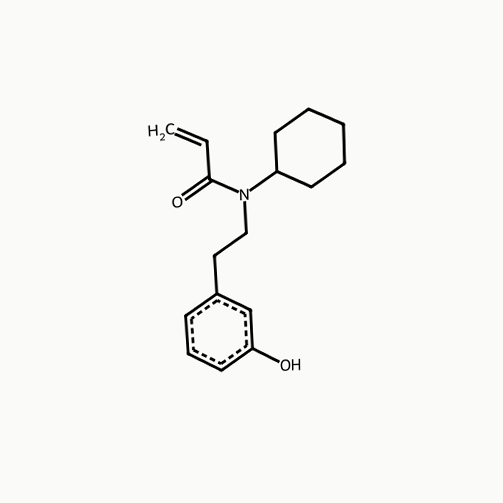 C=CC(=O)N(CCc1cccc(O)c1)C1CCCCC1